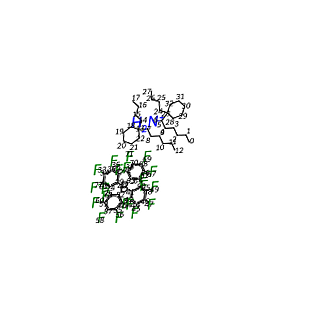 CCCCCC([NH2+]C(CCCCC)C1(CCCC)CCCCC1)C1(CCCC)CCCCC1.Fc1c(F)c(F)c([B-](c2c(F)c(F)c(F)c(F)c2F)(c2c(F)c(F)c(F)c(F)c2F)c2c(F)c(F)c(F)c(F)c2F)c(F)c1F